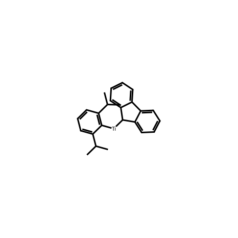 CC(C)c1cccc(C(C)C)[c]1[Ti][CH]1c2ccccc2-c2ccccc21